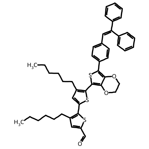 CCCCCCc1cc(C=O)sc1-c1cc(CCCCCC)c(-c2sc(-c3ccc(C=C(c4ccccc4)c4ccccc4)cc3)c3c2OCCO3)s1